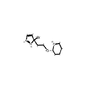 BrC1(CCO[C@H]2CCCCO2)C=CN=N1